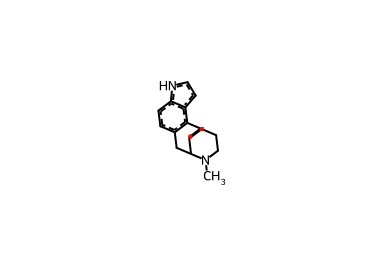 CN1CCC23CCCCC2C1Cc1ccc2[nH]ccc2c13